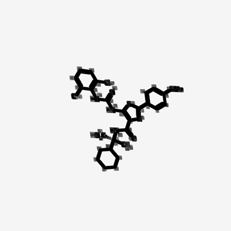 COc1ccc(-c2nc(C(=O)N[C@](C)(C(=O)O)C3CCCCC3)c(NC(=O)Nc3c(Cl)cccc3Cl)s2)cc1